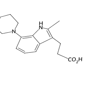 Cc1[nH]c2c(N3CCOCC3)cccc2c1CCC(=O)O